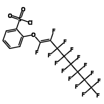 O=S(=O)(Cl)c1ccccc1OC(F)=C(F)C(F)(F)C(F)(F)C(F)(F)C(F)(F)C(F)(F)C(F)(F)F